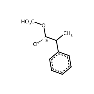 CC(c1ccccc1)[C@H](Cl)OC(=O)O